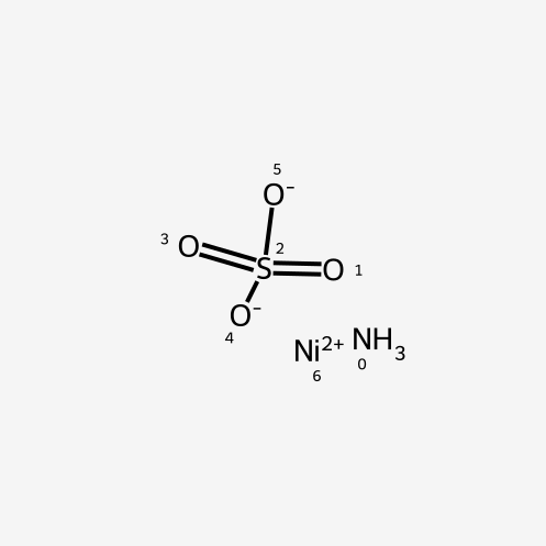 N.O=S(=O)([O-])[O-].[Ni+2]